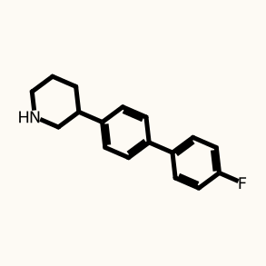 Fc1ccc(-c2ccc(C3CCCNC3)cc2)cc1